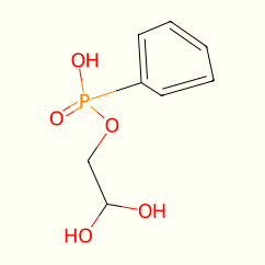 O=P(O)(OCC(O)O)c1ccccc1